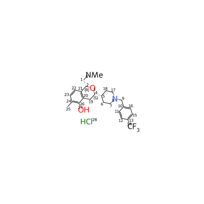 CNC[C@@H]1O[C@H](C2CCN(Cc3ccc(C(F)(F)F)cc3)CC2)Cc2c1ccc(C)c2O.Cl